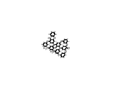 Cc1cc(C)cc(N(c2cc(Oc3ccccc3)c(Cl)c(Oc3ccccc3)c2)c2cc(C(C)(C)C)cc(N(c3cc(C)cc(C)c3)c3cc(Oc4ccccc4)c(Cl)c(Oc4ccccc4)c3)c2Cl)c1